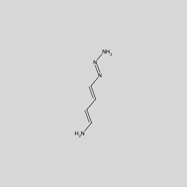 NC=CC=CN=NN